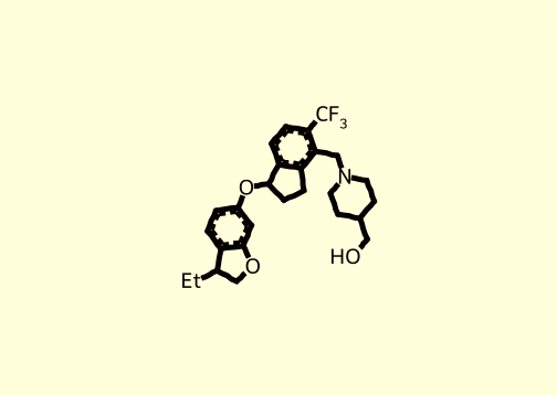 CCC1COc2cc(OC3CCc4c3ccc(C(F)(F)F)c4CN3CCC(CO)CC3)ccc21